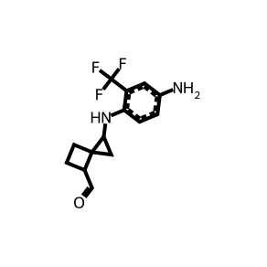 Nc1ccc(NC2CC23CCC3C=O)c(C(F)(F)F)c1